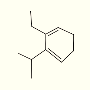 CCC1=CCCC=C1C(C)C